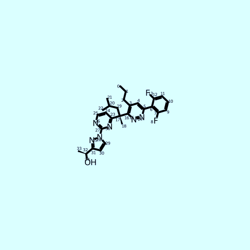 CCCc1cc(-c2c(F)cccc2F)nnc1[C@@](C)(CC(C)C)c1ccnc(-n2ccc([C@H](C)O)n2)n1